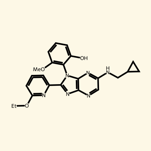 CCOC1=NC(c2nc3ncc(NCC4CC4)nc3n2-c2c(O)cccc2OC)=C=C=C1